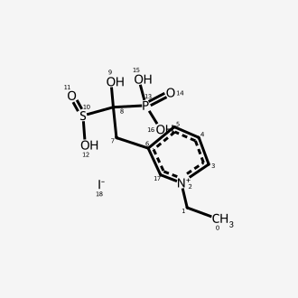 CC[n+]1cccc(CC(O)(S(=O)O)P(=O)(O)O)c1.[I-]